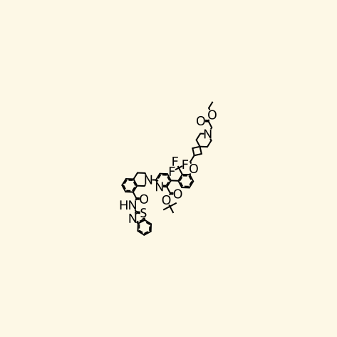 CCOC(=O)CN1CCC2(CC1)CC(COc1cccc(-c3ccc(N4CCc5cccc(C(=O)Nc6nc7ccccc7s6)c5C4)nc3C(=O)OC(C)(C)C)c1C(F)(F)F)C2